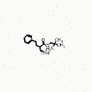 CC(C)(C)COC(=O)C(/C=N\O)CCc1ccccc1